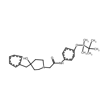 CC(C)(C)[Si](C)(C)Oc1ccc(NC(=O)CN2CCC(O)(Cc3ccccc3)CC2)cc1